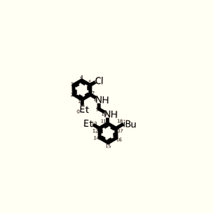 CCc1cccc(Cl)c1NCNc1c(CC)cccc1C(C)CC